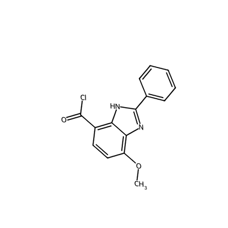 COc1ccc(C(=O)Cl)c2[nH]c(-c3ccccc3)nc12